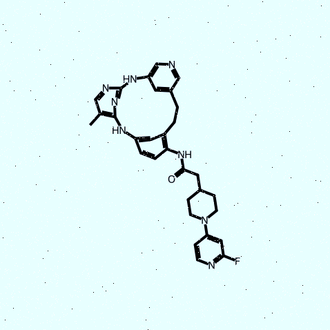 Cc1cnc2nc1Nc1ccc(NC(=O)CC3CCN(c4ccnc(F)c4)CC3)c(c1)CCc1cncc(c1)N2